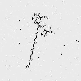 CC(C)(C)OC(=O)N(CCOCCOCCOCCOCC=O)C(=O)OC(C)(C)C